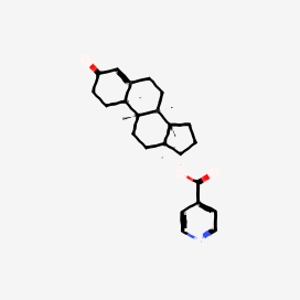 C[C@]12CC[C@H]3[C@@H](CCC4=CC(=O)CC[C@@]43C)[C@@H]1CC[C@@H]2OC(=O)c1ccncc1